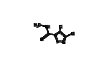 CNC(=O)c1snc(Cl)c1Cl